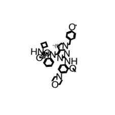 COc1ccc(CN2C[C@@H](C)c3c(Nc4ccccc4S(=O)(=O)NC4CCC4)nc(Nc4ccc(N5CCOCC5)cc4OC)nc32)cc1